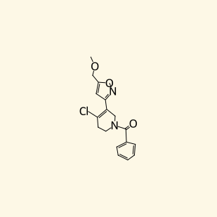 COCc1cc(C2=C(Cl)CCN(C(=O)c3ccccc3)C2)no1